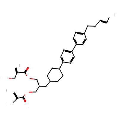 C=C(C)C(=O)OCC(COC(=O)C(=C)CO)CC1CCC(c2ccc(-c3ccc(CC/C=C/C)cc3)cc2)CC1